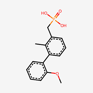 COc1ccccc1-c1cccc(CP(=O)(O)O)c1C